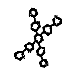 c1ccc(-c2ccc(-c3cc(-c4ccc(-c5ccccn5)nc4)c(-c4ccc(-c5cccnc5)cc4)cc3-c3ccc(-c4cccnc4)cc3)cn2)nc1